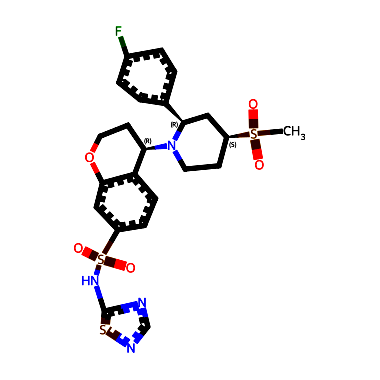 CS(=O)(=O)[C@H]1CCN([C@@H]2CCOc3cc(S(=O)(=O)Nc4ncns4)ccc32)[C@@H](c2ccc(F)cc2)C1